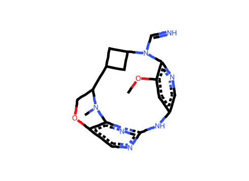 COc1cc2cnc1N(C=N)C1CC(C1)C1COc3cnc(nc3N1C)N2